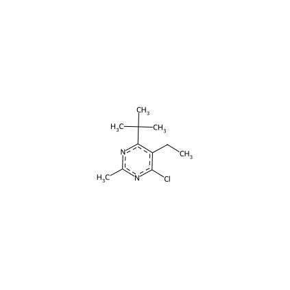 CCc1c(Cl)nc(C)nc1C(C)(C)C